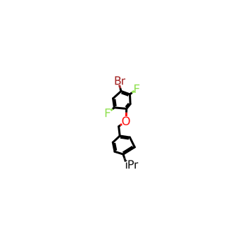 CC(C)c1ccc(COc2cc(F)c(Br)cc2F)cc1